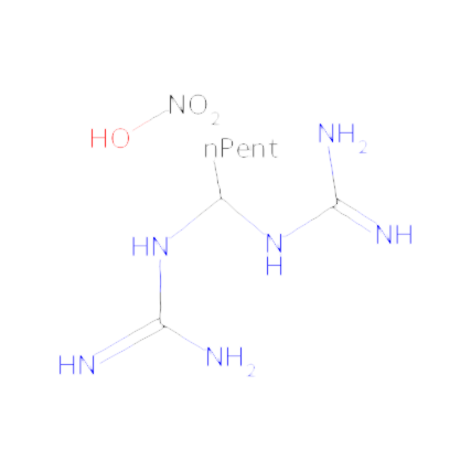 CCCCCC(NC(=N)N)NC(=N)N.O=[N+]([O-])O